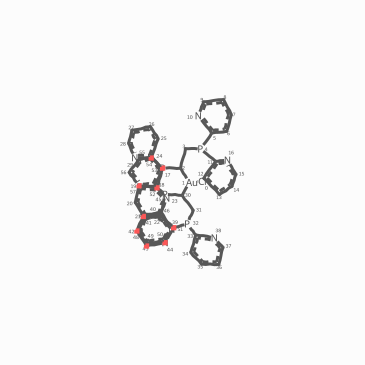 [Cl][Au]([CH](CP(c1ccccn1)c1ccccn1)P(c1ccccn1)c1ccccn1)[CH](CP(c1ccccn1)c1ccccn1)P(c1ccccn1)c1ccccn1